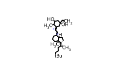 C=C[C@]1(O)C/C(=C\C=C2/CCC[C@]3(C)[C@@H]([C@@H](C)CCCC(C)(C)C)CC[C@@H]23)C(C)[C@@H](O)C1